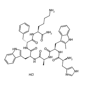 Cc1[nH]c2ccccc2c1C[C@@H](NC(=O)[C@@H](N)Cc1c[nH]cn1)C(=O)N[C@@H](C)C(=O)N[C@@H](Cc1c[nH]c2ccccc12)C(=O)N[C@H](Cc1ccccc1)C(=O)N[C@@H](CCCCN)C(N)=O.Cl